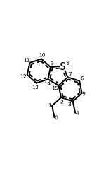 CCc1c(C)ccc2sc3ccccc3c12